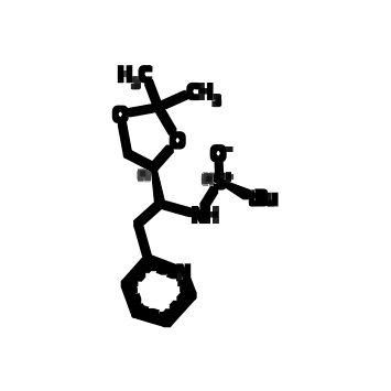 CC1(C)OC[C@H](C(Cc2ccccn2)N[S@@+]([O-])C(C)(C)C)O1